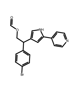 O=COCC(c1ccc(Br)cc1)c1c[nH]c(-c2ccncc2)c1